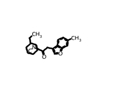 CCC1CC2CCC1N(C(=O)Cc1coc3cc(C)ccc13)C2